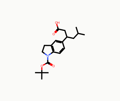 CC(C)CC(CC(=O)O)c1ccc2c(c1)CCN2C(=O)OC(C)(C)C